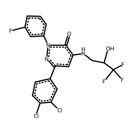 O=c1c(NCC(O)C(F)(F)F)cc(-c2ccc(Cl)c(Cl)c2)nn1-c1cccc(F)c1